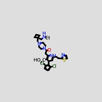 CCNCC1(CN2CCN(C(=O)CC3=C(C(=O)O)C(c4c(Cl)cccc4Cl)C=C(CCc4nccs4)N3)CC2)CCC1